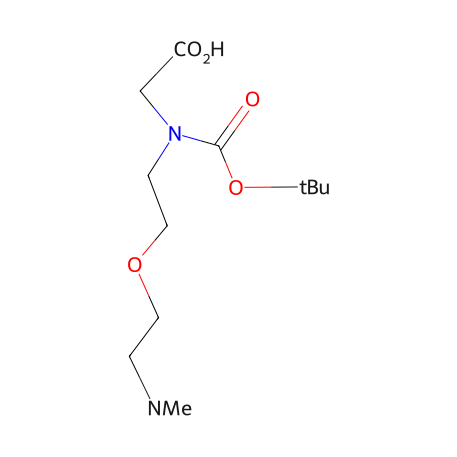 CNCCOCCN(CC(=O)O)C(=O)OC(C)(C)C